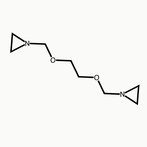 C(COCN1CC1)OCN1CC1